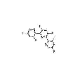 Fc1cnc(-c2nc(-c3ncc(F)cc3F)c(F)cc2F)c(F)c1